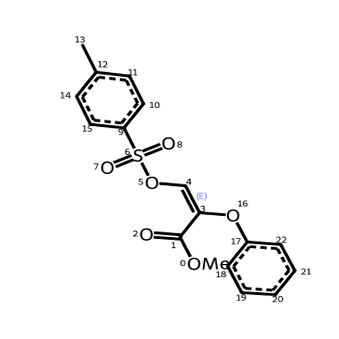 COC(=O)/C(=C\OS(=O)(=O)c1ccc(C)cc1)Oc1ccccc1